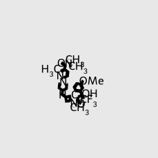 COc1cccc(C(O)(C(C)C(=O)N(C)C2CC(CC3CCN(c4ccc(C(=O)N(C)C)c(C)n4)CC3)C2)C(F)(F)F)c1